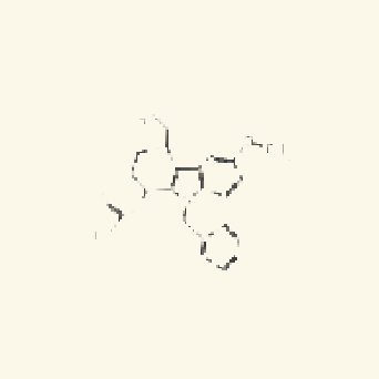 COc1ccc2c(c1)c1c(n2Cc2ccccc2)C(OC(C)=O)CCC1CN